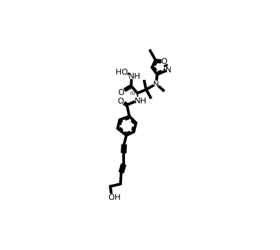 Cc1cc(N(C)C(C)(C)[C@H](NC(=O)c2ccc(C#CC#CCCO)cc2)C(=O)NO)no1